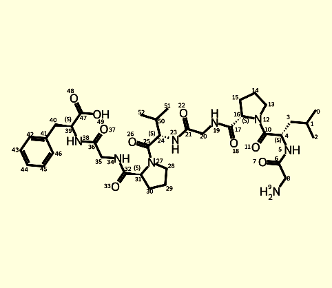 CC(C)C[C@H](NC(=O)CN)C(=O)N1CCC[C@H]1C(=O)NCC(=O)N[C@H](C(=O)N1CCC[C@H]1C(=O)NCC(=O)N[C@@H](Cc1ccccc1)C(=O)O)C(C)C